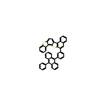 c1ccc(-c2c3ccccc3c(-c3cccc(-c4cc5ccccc5c5c4sc4c5ccc5sc6ccccc6c54)c3)c3ccccc23)cc1